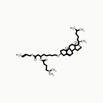 C/C=C/COC(=O)CC(CCCCCO[C@H]1CC[C@@]2(C)C(=CCC3C2CC[C@@]2(C)C3CC[C@@H]2[C@H](C)CCCC(C)C)C1)OC(=O)CCCN(C)C